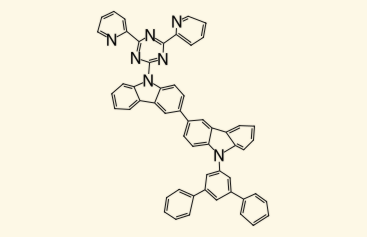 c1ccc(-c2cc(-c3ccccc3)cc(-n3c4ccccc4c4cc(-c5ccc6c(c5)c5ccccc5n6-c5nc(-c6ccccn6)nc(-c6ccccn6)n5)ccc43)c2)cc1